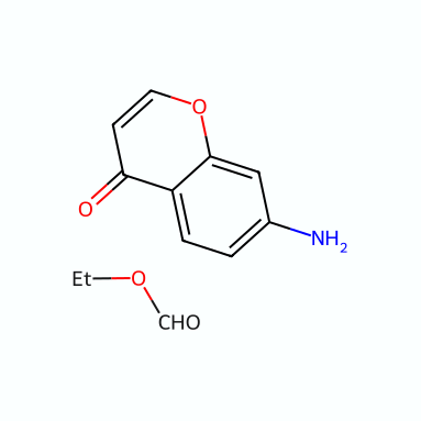 CCOC=O.Nc1ccc2c(=O)ccoc2c1